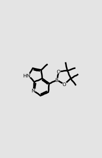 Cc1c[nH]c2nccc(B3OC(C)(C)C(C)(C)O3)c12